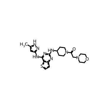 Cc1cc(Nc2nc(NC3CCN(C(=O)CN4CCOCC4)CC3)nc3ccsc23)n[nH]1